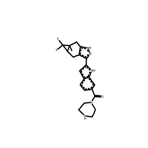 CC12Cc3[nH]nc(-c4cc5ccc(C(=O)N6CCNCC6)cc5[nH]4)c3CC1C2(F)F